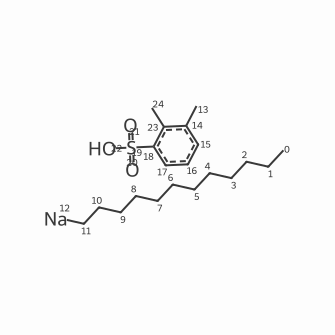 CCCCCCCCCCC[CH2][Na].Cc1cccc(S(=O)(=O)O)c1C